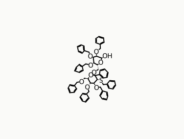 O[C@@H]1O[C@H](CO[C@@]2(c3ccccc3)O[C@H](COCc3ccccc3)[C@@H](OCc3ccccc3)[C@H](OCc3ccccc3)[C@H]2SCc2ccccc2)[C@@H](OCc2ccccc2)[C@H](OCc2ccccc2)[C@H]1OCc1ccccc1